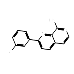 Nc1nccc2ccc(-c3cccc(C(F)(F)F)c3)nc12